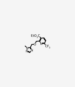 CCOC(=O)c1ccc(C(F)(F)F)nc1COCc1ncnn1C